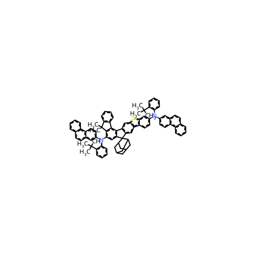 CC(C)(C)c1ccccc1N(c1ccc2c(ccc3ccccc32)c1)c1ccc2c(c1)sc1cc3c(cc12)C1(c2cc(N(c4ccc5c(ccc6ccccc65)c4)c4ccccc4C(C)(C)C)c4c(c2-3)-c2ccccc2C4(C)C)C2CC3CC(C2)CC1C3